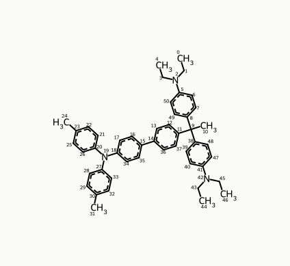 CCN(CC)c1ccc(C(C)(c2ccc(-c3ccc(N(c4ccc(C)cc4)c4ccc(C)cc4)cc3)cc2)c2ccc(N(CC)CC)cc2)cc1